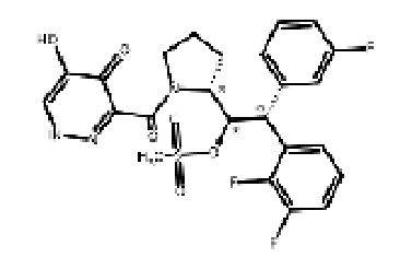 CS(=O)(=O)O[C@H]([C@H](c1cccc(F)c1)c1cccc(F)c1F)[C@H]1CCCN1C(=O)c1n[nH]cc(O)c1=O